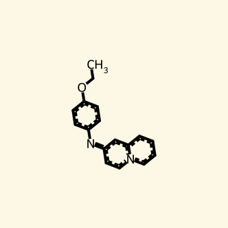 CCOc1ccc(N=c2ccn3ccccc3c2)cc1